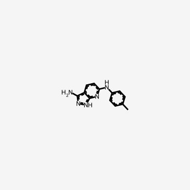 Cc1ccc(Nc2ccc3c(N)n[nH]c3n2)cc1